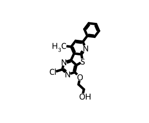 Cc1cc(-c2ccccc2)nc2sc3c(OCCO)nc(Cl)nc3c12